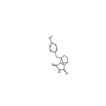 COc1ccc(CC23CCC(O2)C2C(=O)NC(=O)C23)cc1